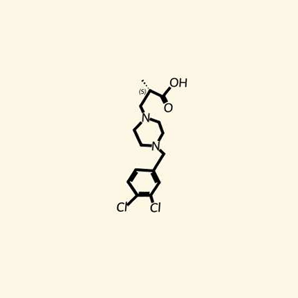 C[C@@H](CN1CCN(Cc2ccc(Cl)c(Cl)c2)CC1)C(=O)O